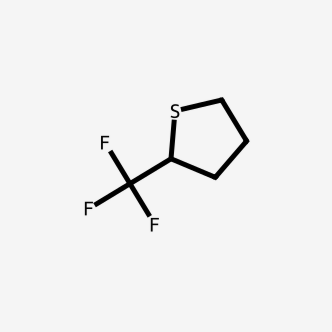 FC(F)(F)C1CCCS1